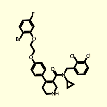 O=C(C1=C(c2ccc(OCCOc3cc(F)ccc3Br)cc2)CCNC1)N(Cc1cccc(Cl)c1Cl)C1CC1